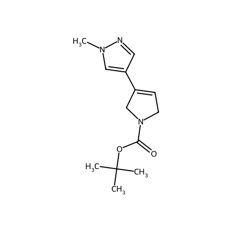 Cn1cc(C2=CCN(C(=O)OC(C)(C)C)C2)cn1